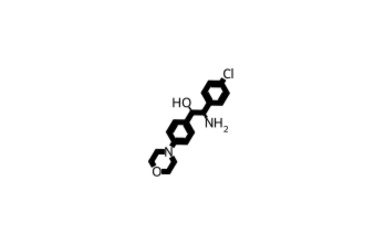 N[C@H](c1ccc(Cl)cc1)[C@@H](O)c1ccc(N2CCOCC2)cc1